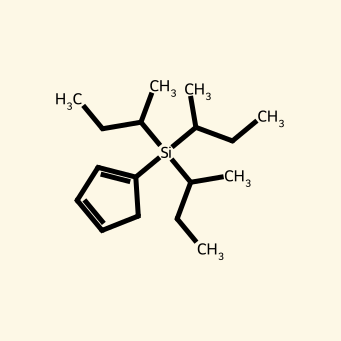 CCC(C)[Si](C1=CC=CC1)(C(C)CC)C(C)CC